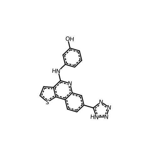 Oc1cccc(Nc2nc3cc(-c4nnn[nH]4)ccc3c3sccc23)c1